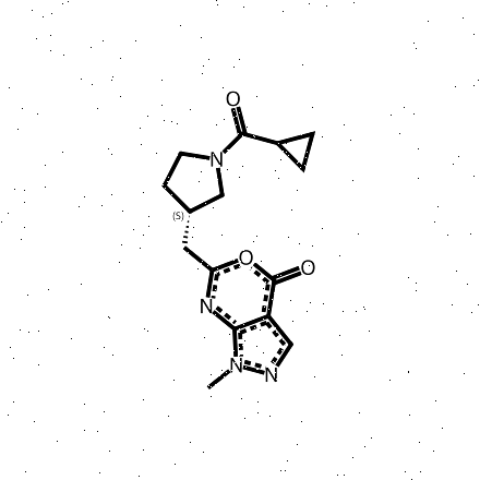 Cn1ncc2c(=O)oc(C[C@@H]3CCN(C(=O)C4CC4)C3)nc21